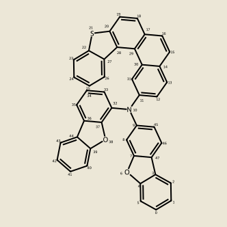 c1ccc2c(c1)oc1cc(N(c3ccc4ccc5ccc6sc7ccccc7c6c5c4c3)c3cccc4c3oc3ccccc34)ccc12